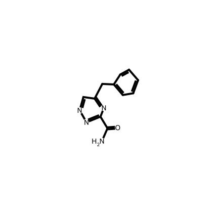 NC(=O)c1nncc(Cc2ccccc2)n1